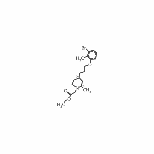 CCOC(=O)CN1CC[C@@H](CCCOc2cccc(Br)c2C)C[C@H]1C